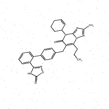 CCCc1c(Cc2ccc(-c3ccccc3-c3noc(=O)[nH]3)cc2)c(=O)n(C2C=CCCC2)c2nc(C)nn12